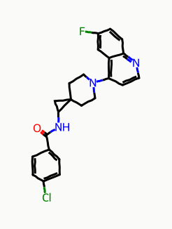 O=C(NC1CC12CCN(c1ccnc3ccc(F)cc13)CC2)c1ccc(Cl)cc1